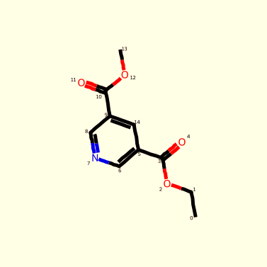 CCOC(=O)c1cncc(C(=O)OC)c1